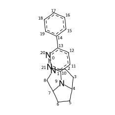 CN1CCC2CCC(C1)N2c1ccc(-c2ccccc2)nn1